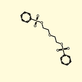 O=S(=O)(OCCOCCOS(=O)(=O)c1ccccc1)c1ccccc1